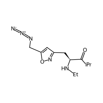 CCN[C@@H](Cc1cc(CN=[N+]=[N-])on1)C(=O)C(C)C